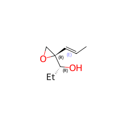 C/C=C/[C@]1([C@H](O)CC)CO1